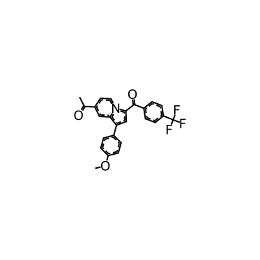 COc1ccc(-c2cc(C(=O)c3ccc(C(F)(F)F)cc3)n3ccc(C(C)=O)cc23)cc1